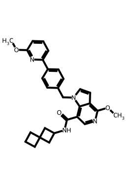 COc1cccc(-c2ccc(Cn3ccc4c(OC)ncc(C(=O)NC5CC6(CCC6)C5)c43)cc2)n1